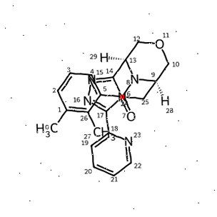 Cc1cccc(C(=O)N2[C@H]3COC[C@@H]2c2nnc(-c4ccccn4)n2C3)c1C